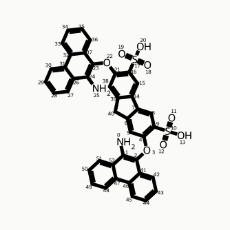 Nc1c(Oc2cc3c(cc2S(=O)(=O)O)-c2cc(S(=O)(=O)O)c(Oc4c(N)c5ccccc5c5ccccc45)cc2C3)c2ccccc2c2ccccc12